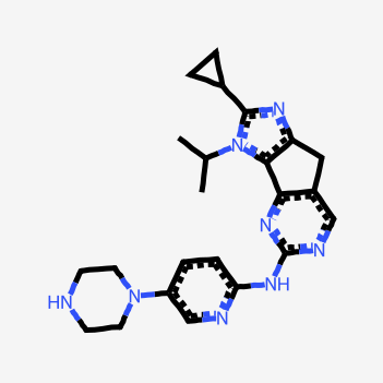 CC(C)n1c(C2CC2)nc2c1-c1nc(Nc3ccc(N4CCNCC4)cn3)ncc1C2